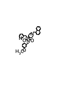 COc1cccc(CN2C(=O)N(Cc3cccnc3)C3(CCN(Cc4cccc5ccccc45)CC3)C2=O)c1